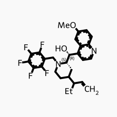 C=CC(CC)C1CCN(Cc2c(F)c(F)c(F)c(F)c2F)[C@H]([C@H](O)c2ccnc3ccc(OC)cc23)C1